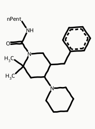 CCCCCNC(=O)N1CC(Cc2ccccc2)C(N2CCCCC2)CC1(C)C